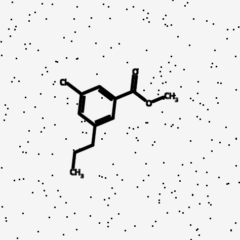 CCCc1cc(Cl)cc(C(=O)OC)c1